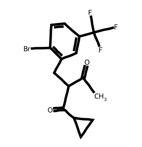 CC(=O)C(Cc1cc(C(F)(F)F)ccc1Br)C(=O)C1CC1